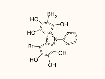 Bc1c(O)c(O)c2c3c(Br)c(O)c(O)c(O)c3n(-c3ccccc3)c2c1O